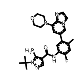 Cc1cc(F)c(NC(=O)c2cnn(C(C)(C)C)c2P)cc1-c1cc(N2CCOCC2)c2nccn2c1